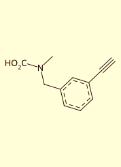 C#Cc1cccc(CN(C)C(=O)O)c1